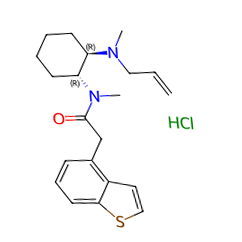 C=CCN(C)[C@@H]1CCCC[C@H]1N(C)C(=O)Cc1cccc2sccc12.Cl